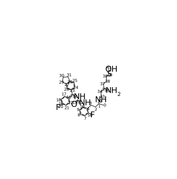 CC(CCc1c(F)cccc1NC(=O)NC(c1ccc(F)cc1)c1ccc2c(c1)CCC2)NCCC(N)CCCSO